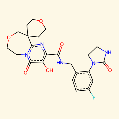 O=C(NCc1ccc(F)cc1N1CCNC1=O)c1nc2n(c(=O)c1O)CCOCC21CCOCC1